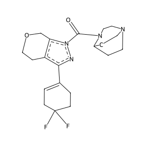 O=C(N1CCN2CCC1CC2)n1nc(C2=CCC(F)(F)CC2)c2c1COCC2